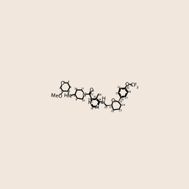 CO[C@H]1COCC[C@H]1NC1CCN(C(=O)c2ncnc(NC[C@@H]3CCC[C@H](c4ccc(OC(F)(F)F)cc4)O3)c2C)CC1